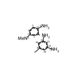 CNc1ccc(N)cc1.Cc1cc(N)cc(N)c1